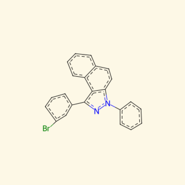 Brc1cccc(-c2nn(-c3ccccc3)c3ccc4ccccc4c23)c1